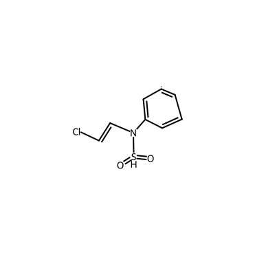 O=[SH](=O)N(C=CCl)c1c[c]ccc1